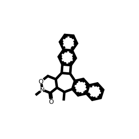 CC1c2cc3ccccc3cc2C2c3cc4ccccc4cc3C2C2CON(C)C(=O)C12